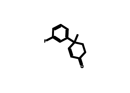 CC1(c2cccc(F)c2)C=CC(=O)CC1